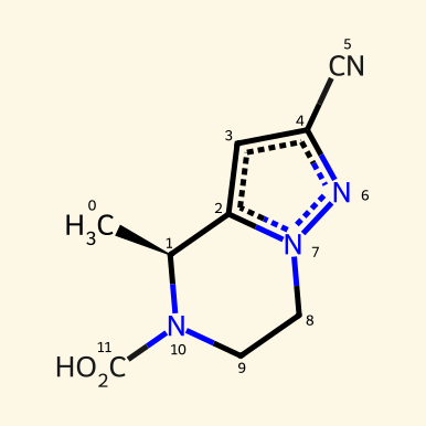 C[C@H]1c2cc(C#N)nn2CCN1C(=O)O